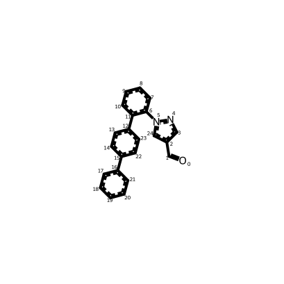 O=Cc1cnn(-c2ccccc2-c2ccc(-c3ccccc3)cc2)c1